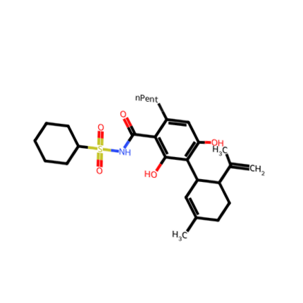 C=C(C)C1CCC(C)=CC1c1c(O)cc(CCCCC)c(C(=O)NS(=O)(=O)C2CCCCC2)c1O